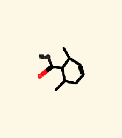 COC(=O)C1C(C)C=CCC1C